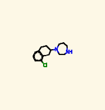 Clc1cccc2c1CC(N1CCCNCC1)CC2